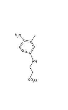 CCOC(=O)CCNc1ccc(N)c(C)c1